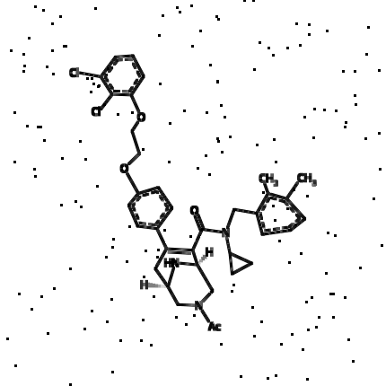 CC(=O)N1C[C@H]2CC(c3ccc(OCCOc4cccc(Cl)c4Cl)cc3)=C(C(=O)N(Cc3cccc(C)c3C)C3CC3)[C@@H](C1)N2